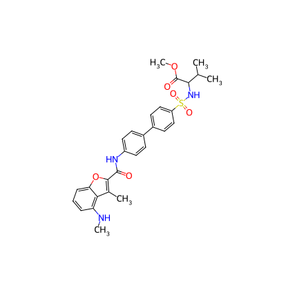 CNc1cccc2oc(C(=O)Nc3ccc(-c4ccc(S(=O)(=O)NC(C(=O)OC)C(C)C)cc4)cc3)c(C)c12